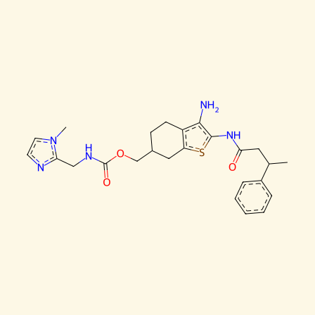 CC(CC(=O)Nc1sc2c(c1N)CCC(COC(=O)NCc1nccn1C)C2)c1ccccc1